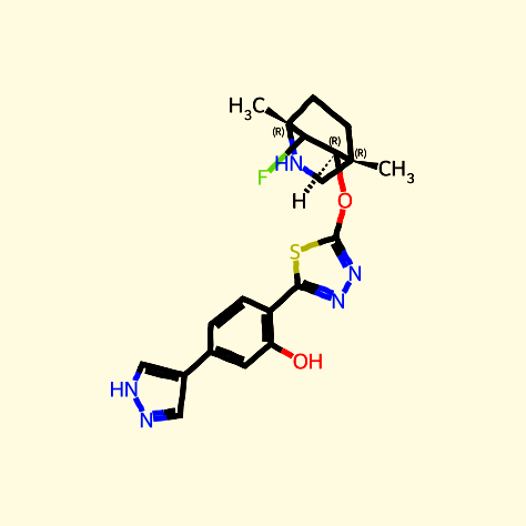 C[C@@]12CC[C@@](C)(NC1)C(F)[C@@H]2Oc1nnc(-c2ccc(-c3cn[nH]c3)cc2O)s1